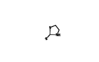 [S]C1NCCS1